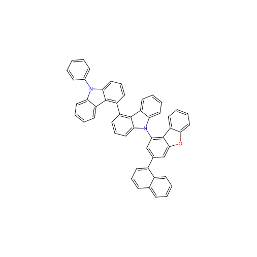 c1ccc(-n2c3ccccc3c3c(-c4cccc5c4c4ccccc4n5-c4cc(-c5cccc6ccccc56)cc5oc6ccccc6c45)cccc32)cc1